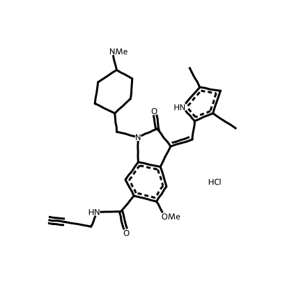 C#CCNC(=O)c1cc2c(cc1OC)/C(=C/c1[nH]c(C)cc1C)C(=O)N2CC1CCC(NC)CC1.Cl